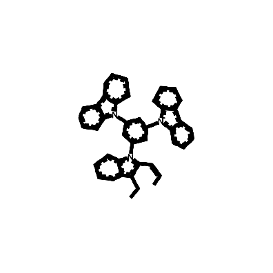 C/C=C\c1c(CC)c2ccccc2n1-c1cc(-n2c3ccccc3c3ccccc32)cc(-n2c3ccccc3c3ccccc32)c1